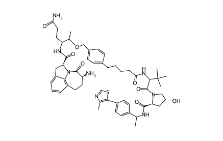 Cc1ncsc1-c1ccc(C(C)NC(=O)[C@@H]2C[C@@H](O)CN2C(=O)C(NC(=O)CCCCc2ccc(COC(C)C(CCC(N)=O)NC(=O)[C@@H]3Cc4cccc5c4N3C(=O)[C@@H](N)CC5)cc2)C(C)(C)C)cc1